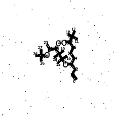 C=CCC(CCCC(=O)C(C)(C)C)OC(C)(C)C(C)(C)C(=O)C(C)OC(C)(C)C